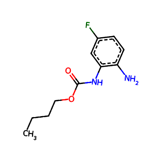 CCCCOC(=O)Nc1cc(F)ccc1N